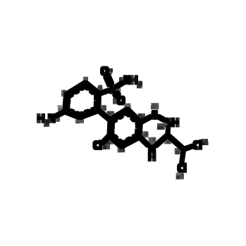 Nc1ccc(S(N)(=O)=O)c(-c2cc3c(cc2Cl)NC(C(Cl)Cl)NS3)c1